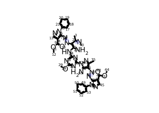 C/N=C(/C)C(/N=N/c1c(C(=O)OC)cnn1-c1ccccc1)=C(N)Nc1nc(OC)nc(-n2nc(C)c(/N=N/c3c(C(=O)OC)cnn3-c3ccccc3)c2N)n1